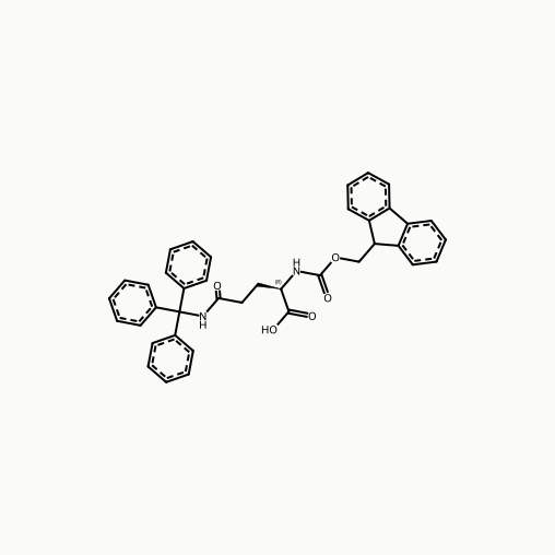 O=C(CC[C@@H](NC(=O)OCC1c2ccccc2-c2ccccc21)C(=O)O)NC(c1ccccc1)(c1ccccc1)c1ccccc1